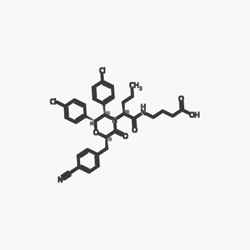 CCC[C@@H](C(=O)NCCCC(=O)O)N1C(=O)[C@@H](Cc2ccc(C#N)cc2)O[C@H](c2ccc(Cl)cc2)[C@@H]1c1ccc(Cl)cc1